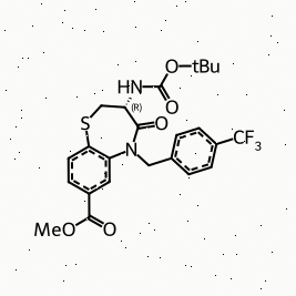 COC(=O)c1ccc2c(c1)N(Cc1ccc(C(F)(F)F)cc1)C(=O)[C@@H](NC(=O)OC(C)(C)C)CS2